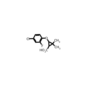 CC1(C)C(Oc2ccc(Cl)cc2F)C1C(=O)O